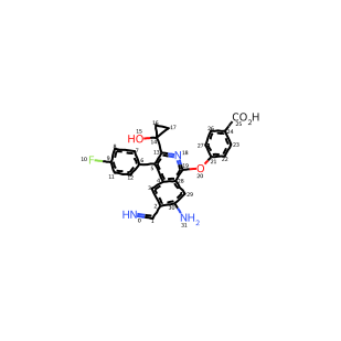 N=Cc1cc2c(-c3ccc(F)cc3)c(C3(O)CC3)nc(Oc3ccc(C(=O)O)cc3)c2cc1N